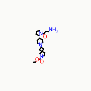 CCOC(=O)N1CCC2(CC(N3CCC([C@@H]4CCCN4C(=O)CCN)CC3)C2)C1